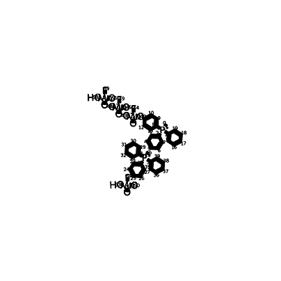 C[P+](c1ccccc1)(c1ccccc1)c1ccccc1.C[P+](c1ccccc1)(c1ccccc1)c1ccccc1.[O]=[Mn](=[O])([O-])[F].[O]=[Mn](=[O])([O-])[F].[O]=[Mn](=[O])([OH])[F].[O]=[Mn](=[O])([OH])[F]